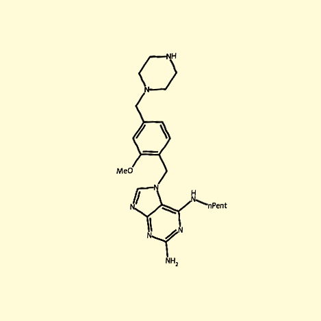 CCCCCNc1nc(N)nc2ncn(Cc3ccc(CN4CCNCC4)cc3OC)c12